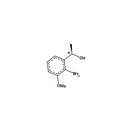 Bc1c(OC)cccc1[C@@H](C)O